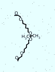 CC(C)(OCCCCCCOCC1CO1)OCCCCCCOCC1CO1